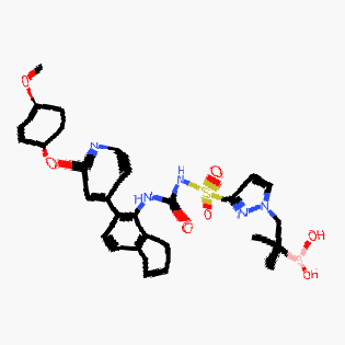 CO[C@H]1CC[C@@H](Oc2cc(-c3ccc4c(c3NC(=O)NS(=O)(=O)c3ccn(CC(C)(C)B(O)O)n3)CCC4)ccn2)CC1